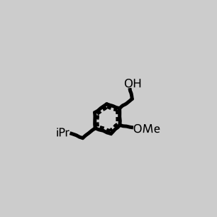 COc1cc(CC(C)C)ccc1CO